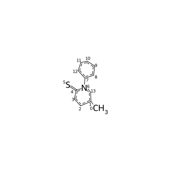 Cc1ccc(=S)n(-c2ccccc2)c1